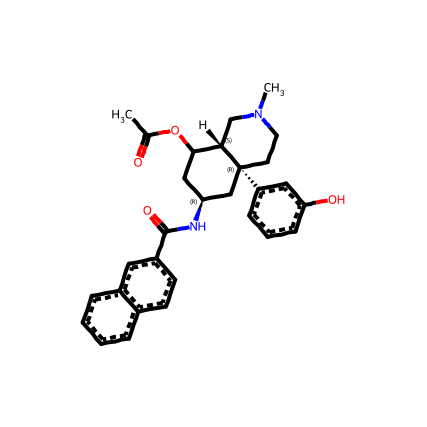 CC(=O)OC1C[C@H](NC(=O)c2ccc3ccccc3c2)C[C@]2(c3cccc(O)c3)CCN(C)C[C@@H]12